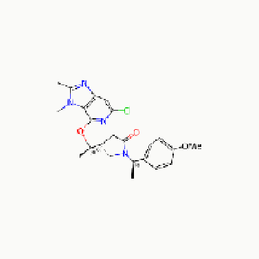 COc1ccc([C@@H](C)N2C[C@H]([C@@H](C)Oc3nc(Cl)cc4nc(C)n(C)c34)CC2=O)cc1